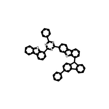 c1ccc(-c2ccc3c(c2)-c2ccccc2C3c2cccc3c2oc2cc(-c4nc(-c5ccccc5)nc(-c5cccc6c5oc5ccccc56)n4)ccc23)cc1